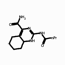 CCCC(=O)NC1=NC(C(N)=O)=C2C[C]CCC2N1